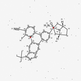 CC(C)(C)n1nnc2cc(-c3ccc(C(=O)N4[C@@H]5CC[C@H]4C[C@@H](N)C5)cc3-c3ccc(C#N)c(F)c3)c(F)cc21